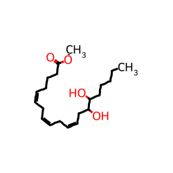 CCCCCC(O)C(O)C/C=C\C/C=C\C/C=C\CCCC(=O)OC